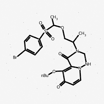 CCCCOc1c2n(ccc1=O)NCN(C(C)COC(C)S(=O)(=O)c1ccc(Br)cc1)C2=O